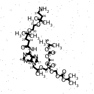 CC(C)OC(=O)OCOP(=O)(CO[C@H](C)Cn1cnc2c(NC(=O)CCC(C)(C)OCCOC(C)(C)CCN)ncnc21)OCOC(=O)OC(C)C